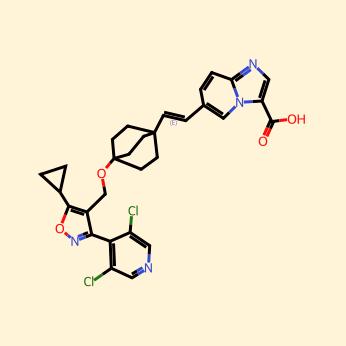 O=C(O)c1cnc2ccc(/C=C/C34CCC(OCc5c(-c6c(Cl)cncc6Cl)noc5C5CC5)(CC3)CC4)cn12